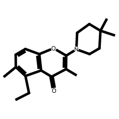 CCc1c(C)ccc2oc(N3CCC(C)(C)CC3)c(C)c(=O)c12